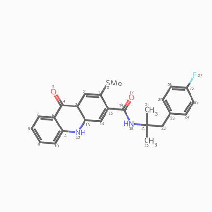 CSC1=CC2C(=O)c3ccccc3NC2C=C1C(=O)NC(C)(C)Cc1ccc(F)cc1